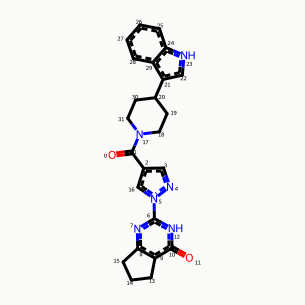 O=C(c1cnn(-c2nc3c(c(=O)[nH]2)CCC3)c1)N1CCC(c2c[nH]c3ccccc23)CC1